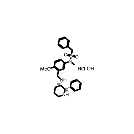 COc1ccc(N(C)S(=O)(=O)Cc2ccccc2)cc1CN[C@H]1CCCN[C@H]1c1ccccc1.Cl.Cl